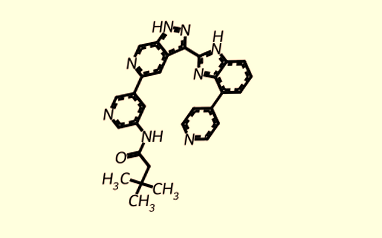 CC(C)(C)CC(=O)Nc1cncc(-c2cc3c(-c4nc5c(-c6ccncc6)cccc5[nH]4)n[nH]c3cn2)c1